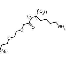 COCCOCCOCC(=O)N[C@@H](CCCCN)C(=O)O